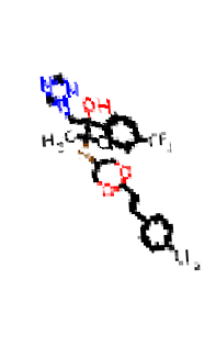 CC(C)(SC1COC(/C=C/c2ccc(C(F)(F)F)cc2)OC1)[C@@](O)(Cn1cncn1)c1ccc(C(F)(F)F)cc1